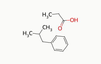 CC(C)Cc1ccccc1.CCC(=O)O